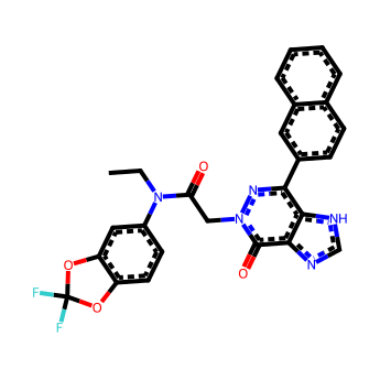 CCN(C(=O)Cn1nc(-c2ccc3ccccc3c2)c2[nH]cnc2c1=O)c1ccc2c(c1)OC(F)(F)O2